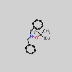 CC(C)(C)[Si](C)(C)ON(Cc1ccccc1)Cc1ccccc1